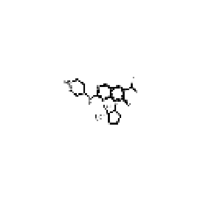 C[C@@]1(O)CCCC1n1c(=O)c(C(F)F)cc2cnc(NC3CCNCC3)nc21